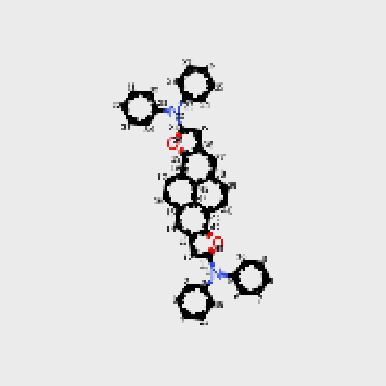 c1ccc(N(c2ccccc2)c2cc3cc4ccc5c6oc(N(c7ccccc7)c7ccccc7)cc6cc6ccc(c3o2)c4c65)cc1